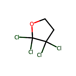 ClC1(Cl)CCOC1(Cl)Cl